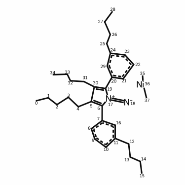 CCCCCC1=C(c2cccc(CCCC)c2)[N+](=[N-])C(c2cccc(CCCC)c2)=C1CCCC.[CH3][Ni][CH3]